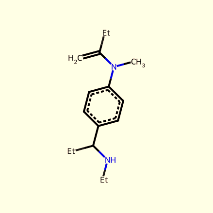 C=C(CC)N(C)c1ccc(C(CC)NCC)cc1